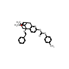 C/C=C1\C2C=C(C)CC1(/N=C/c1ccccc1)c1ccc(OC(=O)Oc3ccc(C)cc3)nc1C2